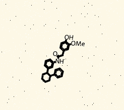 COc1cc(CC(=O)Nc2cccc(C3CCCCC3c3ccccc3)c2)ccc1O